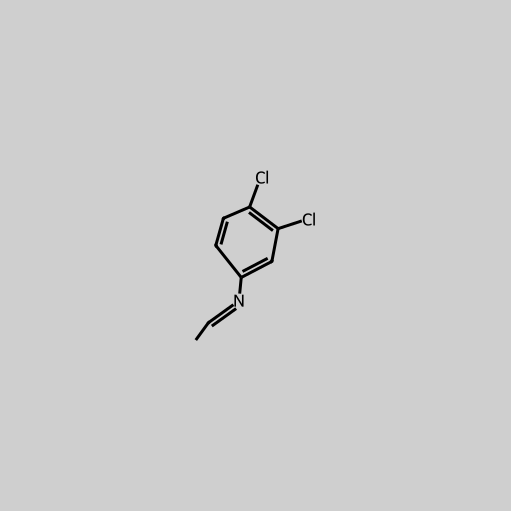 CC=Nc1ccc(Cl)c(Cl)c1